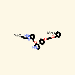 COCCCc1nc2c(CO[C@H]3CNCC[C@@H]3c3ccc(OCCCOCc4ccccc4OC)cc3)cccc2[nH]1